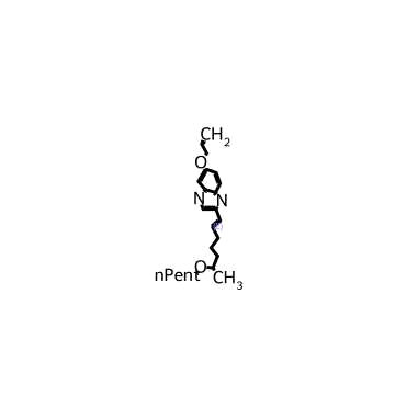 C=CCOc1ccc2nc(/C=C/CCCC(C)OCCCCC)cnc2c1